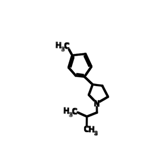 Cc1ccc(C2CCN(CC(C)C)C2)cc1